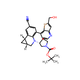 CC(C)(C)OC(=O)N1CC[C@@H](N2C[C@@H]3C[C@@H]3c3cc(C#N)cc(-c4ccnc5cc(CO)sc45)c32)C1